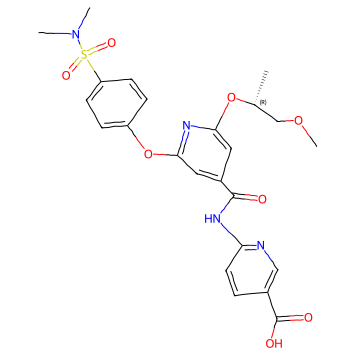 COC[C@@H](C)Oc1cc(C(=O)Nc2ccc(C(=O)O)cn2)cc(Oc2ccc(S(=O)(=O)N(C)C)cc2)n1